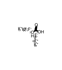 O=C(O)O.[F-].[F-].[F-].[F-].[K+].[K+].[K+].[K+]